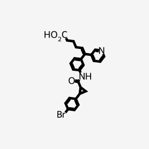 O=C(O)CCC/C=C(/c1cccnc1)c1cccc(NC(=O)C2CC2c2ccc(Br)cc2)c1